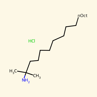 CCCCCCCCCCCCCCCCC(C)(C)N.Cl